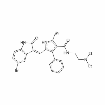 CCN(CC)CCNC(=O)c1c(C(C)C)[nH]c(C=C2C(=O)Nc3ccc(Br)cc32)c1-c1ccccc1